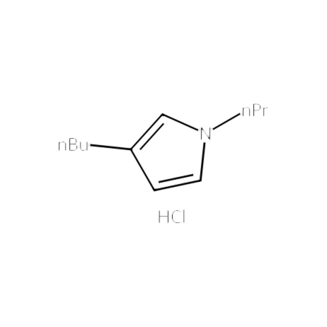 CCCCc1ccn(CCC)c1.Cl